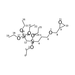 CCO[Si](CCCOCC1CO1)(C[Si](OCC)(OCC)OCC)OCC